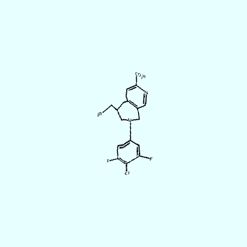 CC(C)CC1CN(c2cc(F)c(Cl)c(F)c2)Cc2cnc(C(=O)O)cc21